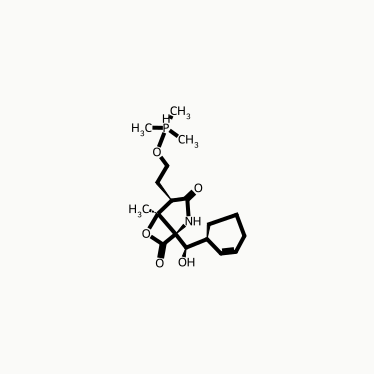 C[C@@]12OC(=O)[C@]1([C@H](O)[C@@H]1C=CCCC1)NC(=O)[C@@H]2CCO[PH](C)(C)C